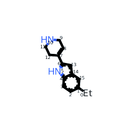 CCc1ccc2[nH]c(C3=CCNCC3)cc2c1